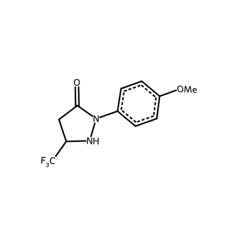 COc1ccc(N2NC(C(F)(F)F)CC2=O)cc1